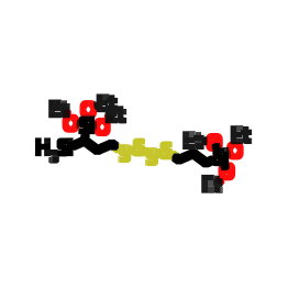 CCO[Si](CCCSSSSCCC([SiH3])[Si](OCC)(OCC)OCC)(OCC)OCC